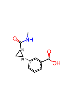 CNC(=O)[C@@H]1C[C@H]1c1cccc(C(=O)O)c1